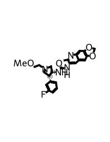 COCCN1C[C@@H](NC(=O)Nc2cc3cc4c(cc3nc2C)OCO4)[C@H](c2cccc(F)c2)C1